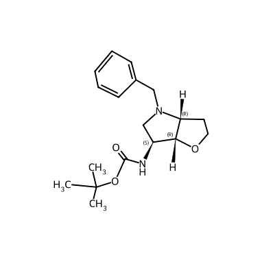 CC(C)(C)OC(=O)N[C@H]1CN(Cc2ccccc2)[C@@H]2CCO[C@H]12